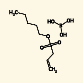 C=CCS(=O)(=O)OCCCCC.OB(O)O